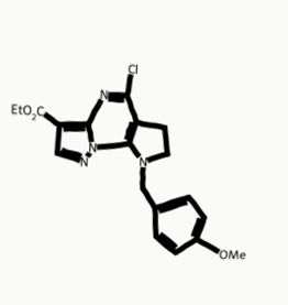 CCOC(=O)c1cnn2c3c(c(Cl)nc12)CCN3Cc1ccc(OC)cc1